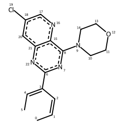 C/C=C\C(=C/C)c1nc(N2CCOCC2)c2ncc(Cl)cc2n1